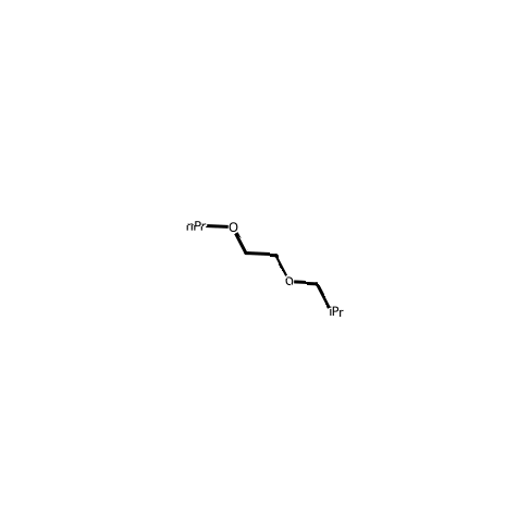 [CH2]CCOCCOCC(C)C